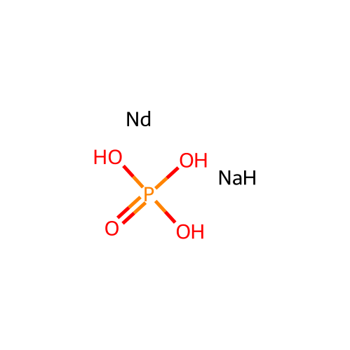 O=P(O)(O)O.[NaH].[Nd]